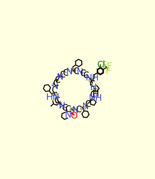 CC(C)C[C@H]1CN[C@@H](CC2CCCCC2)CN(C)CCN(C)CCN(C)[C@@H](CC2CCCCC2)CN(C)CCN[C@@H](CCc2ccc(C(F)(F)F)c(Cl)c2)CN2CCC[C@H]2CNC2(CCCC2)CN(C)[C@@H](C2CCCCC2)CN(C)[C@H](C(=O)N2CCCCC2)CCN1C